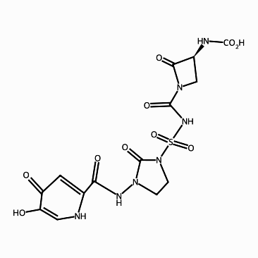 O=C(O)N[C@H]1CN(C(=O)NS(=O)(=O)N2CCN(NC(=O)c3cc(=O)c(O)c[nH]3)C2=O)C1=O